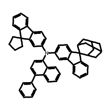 c1ccc(-c2ccc(N(c3ccc4c(c3)-c3ccccc3C43C4CC5CC(C4)CC3C5)c3ccc4c(c3)C3(CCCC3)c3ccccc3-4)c3ccccc23)cc1